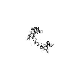 [CH2]c1cc(OCCCCCNc2cc(-c3nc(Cl)ncc3F)ccc2F)cc([N+](=O)[O-])c1